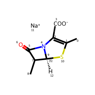 CC1=C(C(=O)[O-])N2C(=O)C(C)[C@@H]2S1.[Na+]